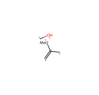 C=C(C)OC.CO